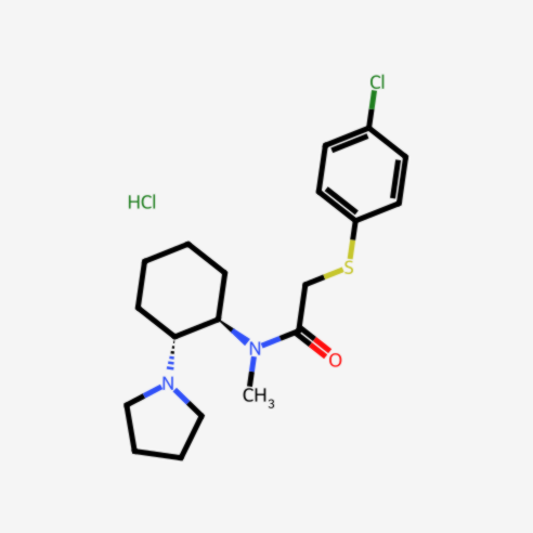 CN(C(=O)CSc1ccc(Cl)cc1)[C@@H]1CCCC[C@H]1N1CCCC1.Cl